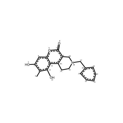 Cc1c(O)cc2oc(=O)c3c(c2c1O)CCN(Cc1ccccc1)C3